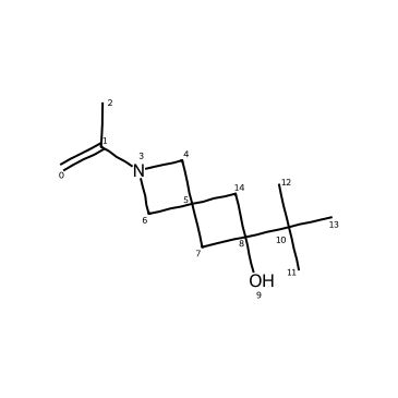 C=C(C)N1CC2(C1)CC(O)(C(C)(C)C)C2